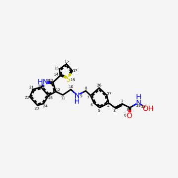 O=C(/C=C/c1ccc(CNCCc2c(-c3cccs3)[nH]c3ccccc23)cc1)NO